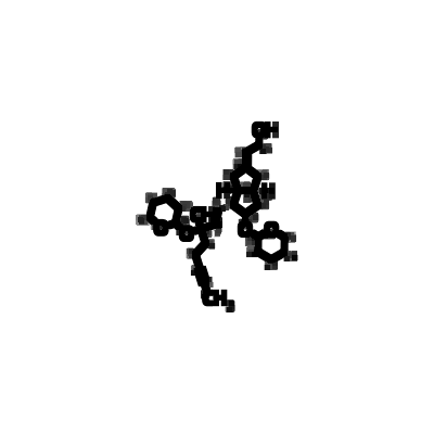 CC#CCCC(C)(/C=C/[C@@H]1[C@H]2C/C(=C/CO)C[C@H]2C[C@H]1OC1CCCCO1)OC1CCCCO1